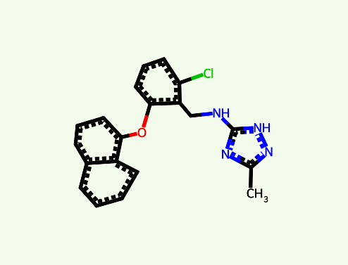 Cc1n[nH]c(NCc2c(Cl)cccc2Oc2cccc3ccccc23)n1